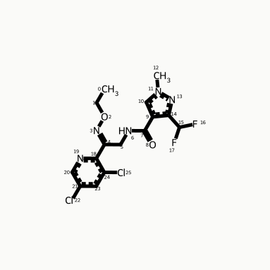 CCON=C(CNC(=O)c1cn(C)nc1C(F)F)c1ncc(Cl)cc1Cl